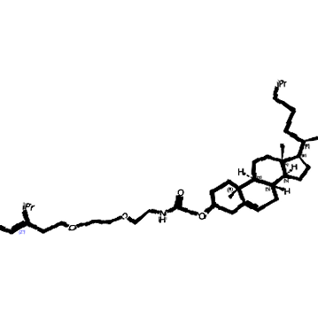 CC(C)/C=C(/CCOCCOCCNC(=O)OC1CC[C@@]2(C)C(=CC[C@H]3[C@@H]4CC[C@H]([C@H](C)CCCC(C)C)[C@@]4(C)CC[C@@H]32)C1)C(C)C